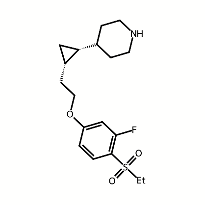 CCS(=O)(=O)c1ccc(OCC[C@@H]2C[C@@H]2C2CCNCC2)cc1F